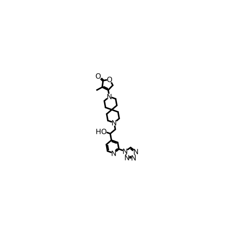 CC1=C(N2CCC3(CCN(CC(O)c4ccnc(-n5cnnn5)c4)CC3)CC2)COC1=O